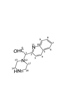 O=CC(c1ccc2ccccc2n1)N1CCNCC1